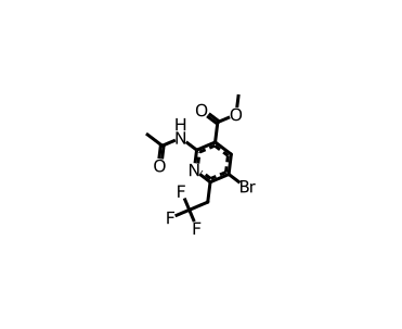 COC(=O)c1cc(Br)c(CC(F)(F)F)nc1NC(C)=O